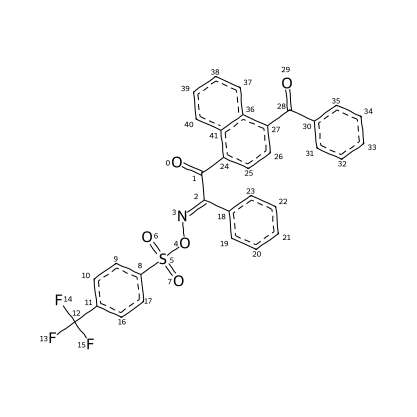 O=C(/C(=N/OS(=O)(=O)c1ccc(C(F)(F)F)cc1)c1ccccc1)c1ccc(C(=O)c2ccccc2)c2ccccc12